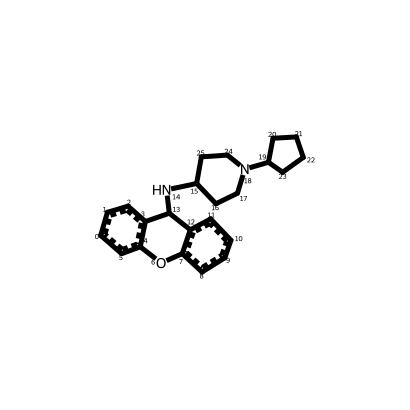 c1ccc2c(c1)Oc1ccccc1C2NC1CCN(C2CCCC2)CC1